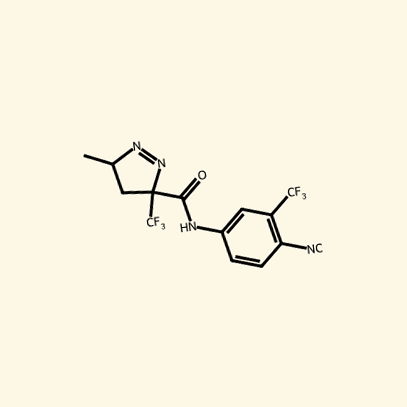 [C-]#[N+]c1ccc(NC(=O)C2(C(F)(F)F)CC(C)N=N2)cc1C(F)(F)F